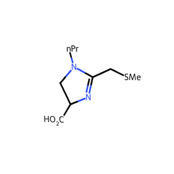 CCCN1CC(C(=O)O)N=C1CSC